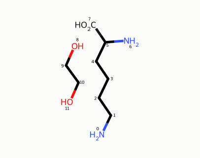 NCCCCC(N)C(=O)O.OCCO